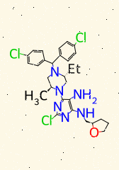 CC[C@@H]1CN(c2nc(Cl)nc(NC[C@H]3CCCO3)c2N)[C@@H](C)CN1C(c1ccc(Cl)cc1)c1ccc(Cl)cc1